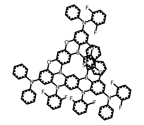 Fc1cccc(F)c1N(c1ccccc1)c1cc2c3c(c1)Sc1c(sc4ccccc14)B3c1cc3c(cc1O2)Oc1cc(N(c2ccccc2)c2ccccc2)cc2c1B3c1cc3c(cc1N2c1c(F)cccc1F)N(c1c(F)cccc1F)c1cc(N(c2ccccc2)c2c(F)cccc2F)cc2c1B3c1sc3ccccc3c1O2